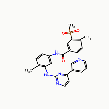 Cc1ccc(NC(=O)c2ccc(C)c(S(C)(=O)=O)c2)cc1Nc1nccc(-c2cccnc2)n1